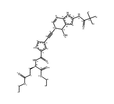 CCOC(=O)CC[C@@H](NC(=O)c1cc(C#CN2C=Nc3[nH]c(NC(=O)C(C)(C)C)cc3C2O)co1)C(=O)OCC